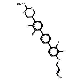 CC/C=C/COc1ccc(-c2ccc(-c3ccc(C4COC(CCCCCCCCC)OC4)c(F)c3F)cc2)c(F)c1F